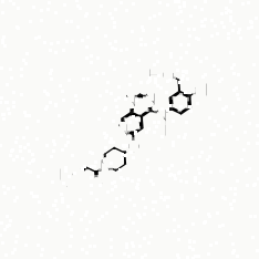 C=CC(=O)N1CCC(Oc2cc3c(Nc4ccc(Cl)c(CO)c4)ncnc3cn2)CC1